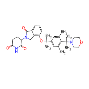 Bc1cc(C(B)(B)Oc2cccc3c2CN(C2CCC(=O)NC2=O)C3=O)cc(B)c1C(B)(B)N1CCOCC1